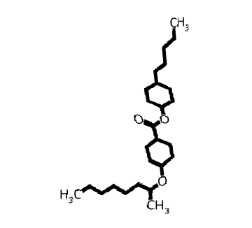 CCCCCCC(C)OC1CCC(C(=O)OC2CCC(CCCCC)CC2)CC1